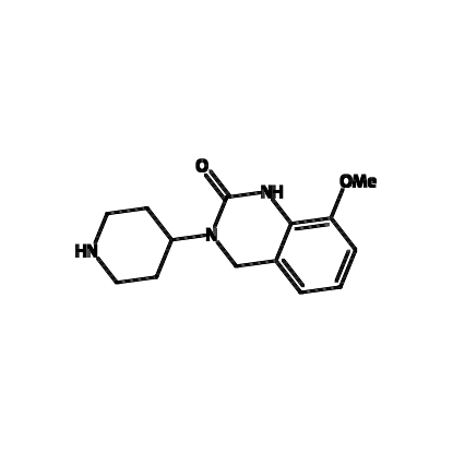 COc1cccc2c1NC(=O)N(C1CCNCC1)C2